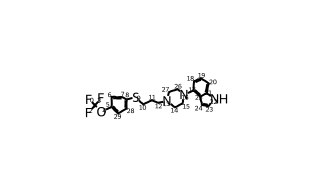 FC(F)(F)Oc1ccc(SCCCN2CCN(c3cccc4[nH]ccc34)CC2)cc1